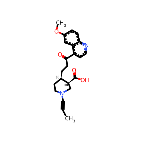 CC#CN1CC[C@@H](CCC(=O)c2ccnc3ccc(OC)cc23)[C@@H](C(=O)O)C1